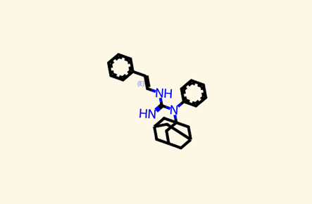 N=C(N/C=C/c1ccccc1)N(c1ccccc1)C12CC3CC(CC(C3)C1)C2